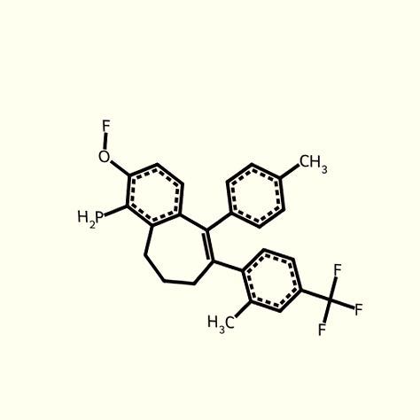 Cc1ccc(C2=C(c3ccc(C(F)(F)F)cc3C)CCCc3c2ccc(OF)c3P)cc1